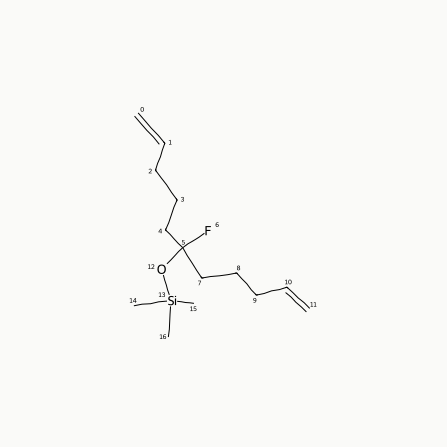 C=CCCCC(F)(CCCC=C)O[Si](C)(C)C